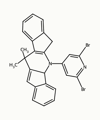 CC1(C)C2=Cc3ccccc3C2N(c2cc(Br)nc(Br)c2)C2=C1c1ccccc1C2